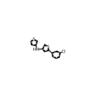 Clc1cccc(-c2cc(Nc3ccsc3)cs2)c1